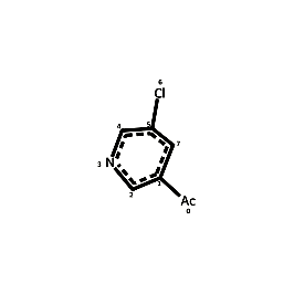 CC(=O)c1[c]ncc(Cl)c1